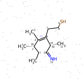 CC[C@H](C)/C(C)=C(/CCS)[C@H](C)C=N